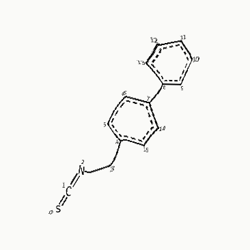 S=C=NCc1ccc(-c2ccccc2)cc1